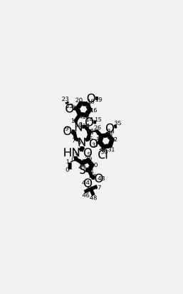 CC[C@H](NC(=O)N1CC(=O)N(Cc2c(OC)cc(OC)cc2OC)C[C@@H](Cc2cc(Cl)ccc2OC)C1=O)c1ccc(C(=O)OC(C)(C)C)s1